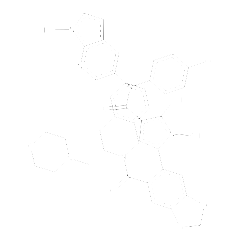 Cc1c(C(=O)N(c2ccc(O)cc2)c2cnc3c(ccn3C)c2)cc(-c2cc3c(cc2C(=O)N2Cc4ccccc4C[C@H]2CN2CCOCC2)OCO3)n1C